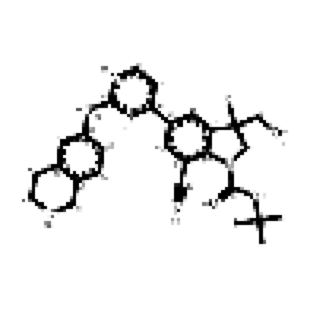 CC(C)(C)OC(=O)N1CC(C)(CO)c2cc(-c3ccnc(Nc4ccc5c(c4)CCOC5)n3)cc(C#N)c21